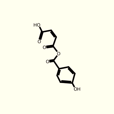 O=C(O)/C=C\C(=O)OC(=O)c1ccc(O)cc1